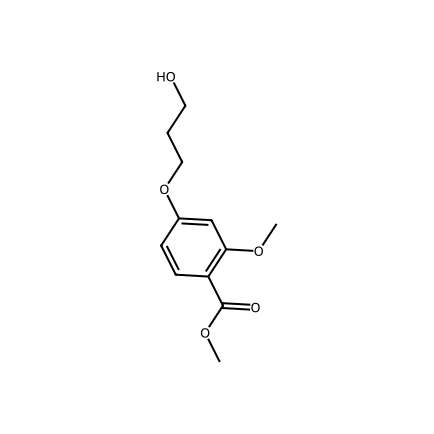 COC(=O)c1ccc(OCCCO)cc1OC